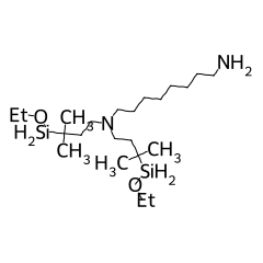 CCO[SiH2]C(C)(C)CCN(CCCCCCCCN)CCC(C)(C)[SiH2]OCC